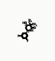 CC1(C)C(=O)N[C@H](c2cc(F)cc(F)c2)C[C@@H]1O